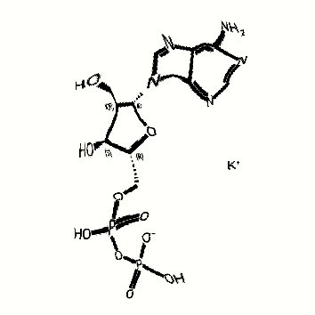 Nc1ncnc2c1ncn2[C@@H]1O[C@H](COP(=O)(O)OP(=O)([O-])O)[C@@H](O)[C@H]1O.[K+]